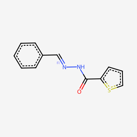 O=C(N/N=C/c1ccccc1)c1cccs1